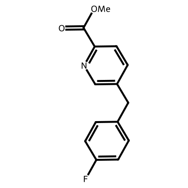 COC(=O)c1ccc(Cc2ccc(F)cc2)cn1